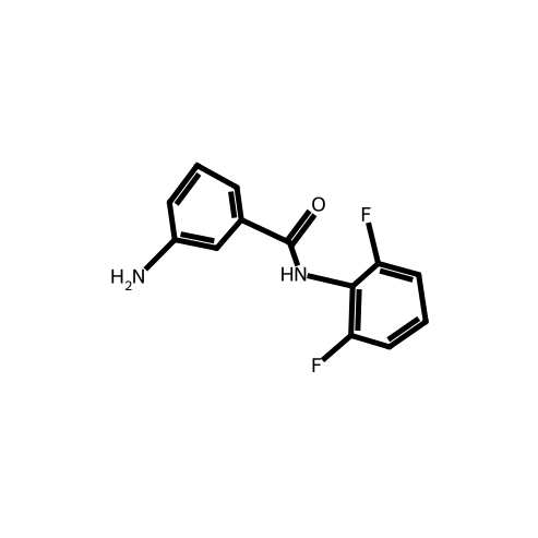 Nc1cccc(C(=O)Nc2c(F)cccc2F)c1